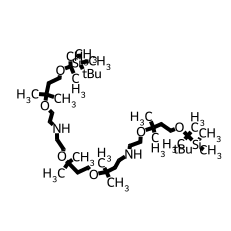 CC(C)(CCNCCOC(C)(C)CCOC(C)(C)[Si](C)(C)C(C)(C)C)OCCC(C)(C)OCCNCCOC(C)(C)CCOC(C)(C)[Si](C)(C)C(C)(C)C